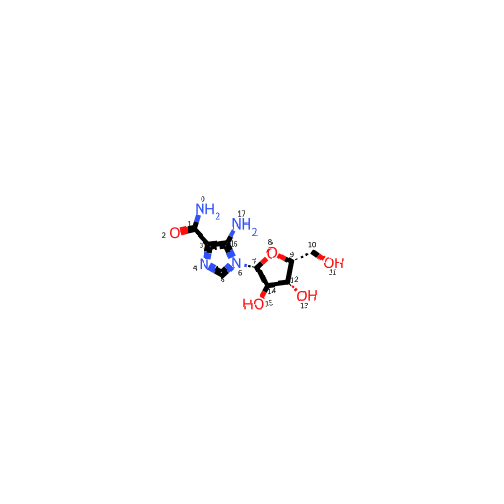 NC(=O)c1ncn([C@@H]2O[C@H](CO)[C@H](O)C2O)c1N